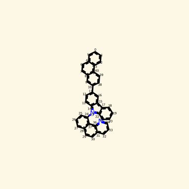 c1ccc2c(c1)ccc1cc(-c3ccc4c(c3)c3ccccc3n4-c3cccc4ccc5cccnc5c34)ccc12